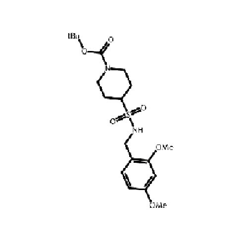 COc1ccc(CNS(=O)(=O)C2CCN(C(=O)OC(C)(C)C)CC2)c(OC)c1